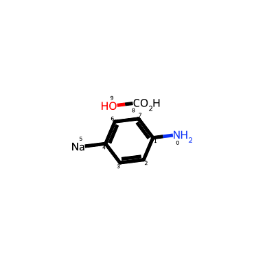 Nc1cc[c]([Na])cc1.O=C(O)O